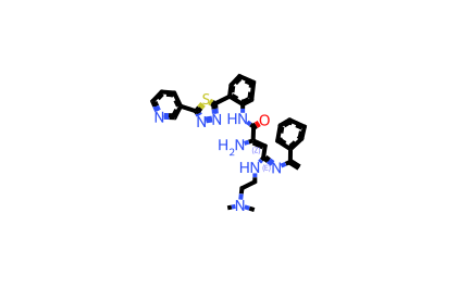 C=C(/N=C(\C=C(/N)C(=O)Nc1ccccc1-c1nnc(-c2cccnc2)s1)NCCN(C)C)c1ccccc1